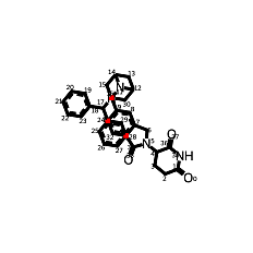 O=C1CCC(N2Cc3cc(CN4C5CC4CN(C(c4ccccc4)c4ccccc4)C5)ccc3C2=O)C(=O)N1